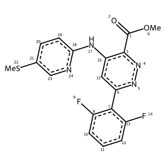 COC(=O)c1nnc(-c2c(F)cccc2F)cc1Nc1ccc(SC)cn1